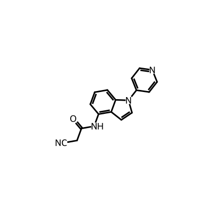 N#CCC(=O)Nc1cccc2c1ccn2-c1ccncc1